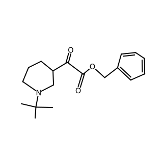 CC(C)(C)N1CCCC(C(=O)C(=O)OCc2ccccc2)C1